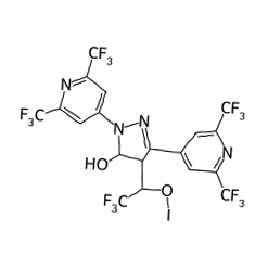 OC1C(C(OI)C(F)(F)F)C(c2cc(C(F)(F)F)nc(C(F)(F)F)c2)=NN1c1cc(C(F)(F)F)nc(C(F)(F)F)c1